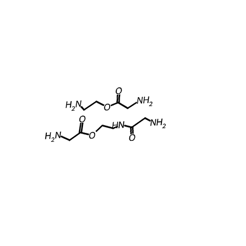 NCC(=O)NCCOC(=O)CN.NCCOC(=O)CN